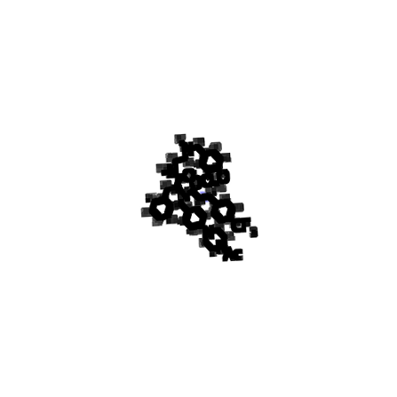 CC(=O)N1CCN(c2ccc(CN(C(=O)/C=C/c3ccc(C(F)(F)F)cc3)[C@@H](Cc3ccccc3)C(=O)N(C)CCN(C)Cc3ccc4c(c3)OCO4)cc2)CC1